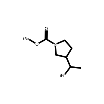 CC(C)C(C)C1CCN(C(=O)OC(C)(C)C)C1